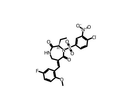 CC[C@@H]1C(=O)NCC(=Cc2cc(F)ccc2OC)C(=O)N1S(=O)(=O)c1ccc(Cl)c([N+](=O)[O-])c1